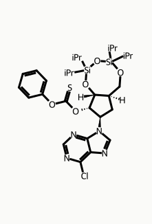 CC(C)[Si]1(C(C)C)OC[C@H]2C[C@@H](n3cnc4c(Cl)ncnc43)[C@H](OC(=S)Oc3ccccc3)[C@@H]2O[Si](C(C)C)(C(C)C)O1